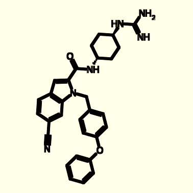 N#Cc1ccc2cc(C(=O)N[C@H]3CC[C@H](NC(=N)N)CC3)n(Cc3ccc(Oc4ccccc4)cc3)c2c1